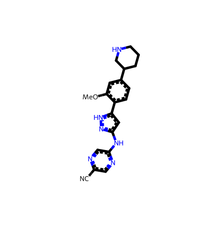 COc1cc(C2CCCNC2)ccc1-c1cc(Nc2cnc(C#N)cn2)n[nH]1